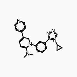 CN(C)C1=CC=C(c2ccncc2)CN1c1cccc(-c2nncn2C2CC2)c1